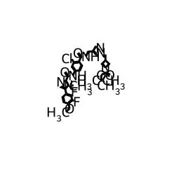 COc1ccc(-c2cnc(C(=O)Nc3ccc(C(=O)NCc4cnn(CC5CN(C(=O)OC(C)(C)C)C5)c4)c(Cl)c3)n2C)c(F)c1F